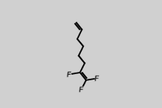 C=CCCCCC(F)=C(F)F